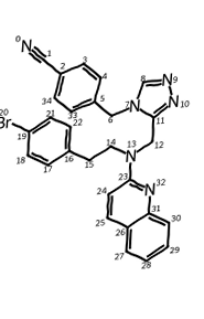 N#Cc1ccc(Cn2cnnc2CN(CCc2ccc(Br)cc2)c2ccc3ccccc3n2)cc1